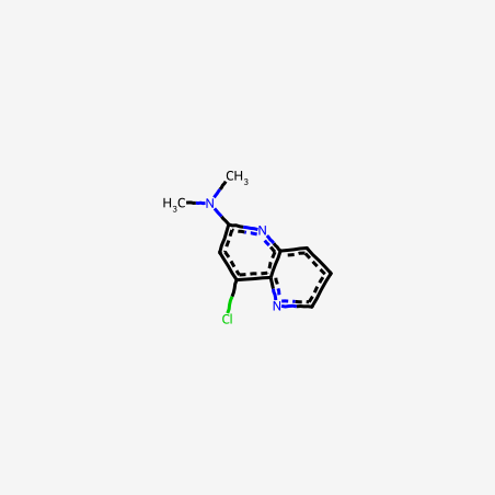 CN(C)c1cc(Cl)c2ncccc2n1